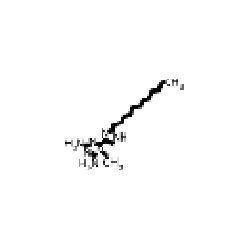 CCCCCCCCCCCCc1nc(C2N=C(N)N=C(N)N2CC)c[nH]1